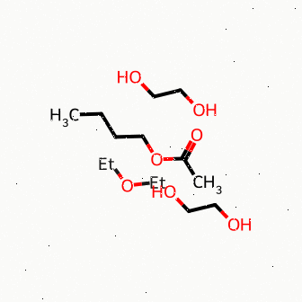 CCCCOC(C)=O.CCOCC.OCCO.OCCO